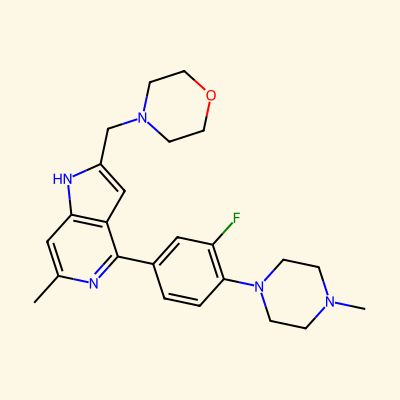 Cc1cc2[nH]c(CN3CCOCC3)cc2c(-c2ccc(N3CCN(C)CC3)c(F)c2)n1